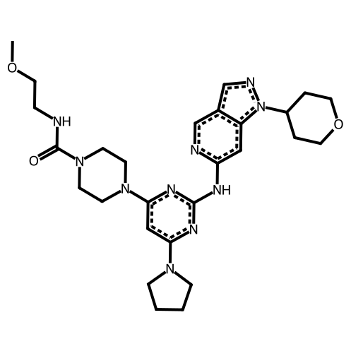 COCCNC(=O)N1CCN(c2cc(N3CCCC3)nc(Nc3cc4c(cn3)cnn4C3CCOCC3)n2)CC1